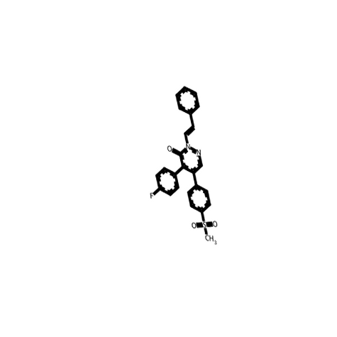 CS(=O)(=O)c1ccc(-c2cnn(C=Cc3ccccc3)c(=O)c2-c2ccc(F)cc2)cc1